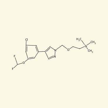 C[Si](C)(C)CCOCn1cc(-c2cc(Cl)cc(OC(F)F)c2)cn1